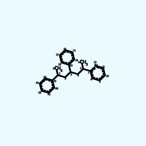 CC(CC(CC(C)c1ccccn1)c1ccccc1)c1ccccc1